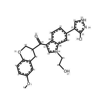 COc1ccc2c(c1)CC(C(=O)c1cn(CCO)c3cc(-c4c[nH]nc4Cl)ccc13)CO2